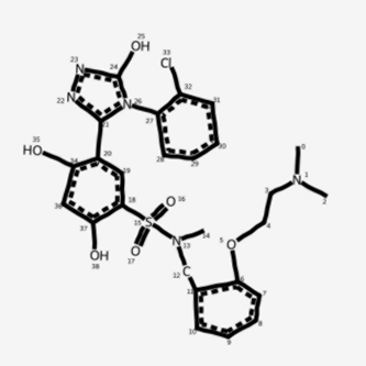 CN(C)CCOc1ccccc1CN(C)S(=O)(=O)c1cc(-c2nnc(O)n2-c2ccccc2Cl)c(O)cc1O